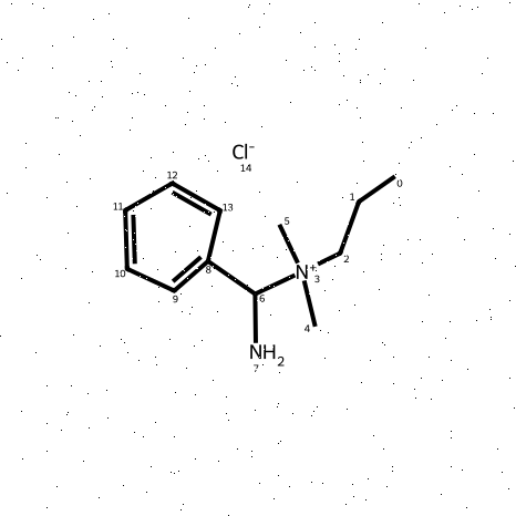 CCC[N+](C)(C)C(N)c1ccccc1.[Cl-]